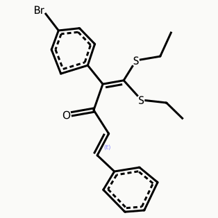 CCSC(SCC)=C(C(=O)/C=C/c1ccccc1)c1ccc(Br)cc1